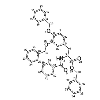 O=C(NC(Cc1ccc(OCc2ccccc2)c(OCc2ccccc2)c1)C(=O)OCc1ccccc1)c1ccccc1